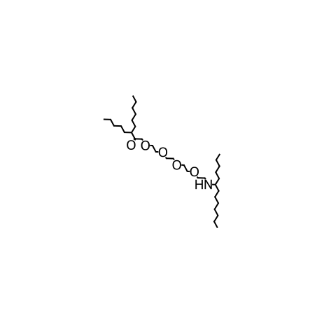 CCCCCCCC(CCCCC)NCCOCCOCCOCCOCC(=O)C(CCCCC)CCCCCC